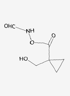 O=CNOC(=O)C1(CO)CC1